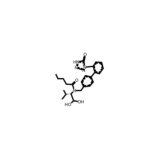 CCCCC(=O)N(Cc1ccc(-c2ccccc2-n2nn[nH]c2=O)cc1)[C@@H](C(C)C)C(O)O